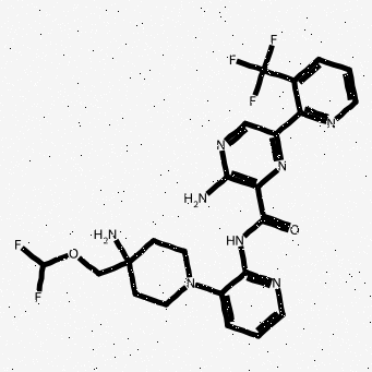 Nc1ncc(-c2ncccc2C(F)(F)F)nc1C(=O)Nc1ncccc1N1CCC(N)(COC(F)F)CC1